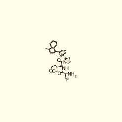 Cc1ccc(-c2csc([C@@H]3CCCN3C(=O)[C@@H](NC(=O)C(N)CF)C3CCOCC3)n2)c2ccccc12